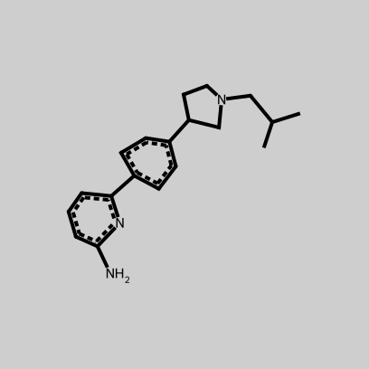 CC(C)CN1CCC(c2ccc(-c3cccc(N)n3)cc2)C1